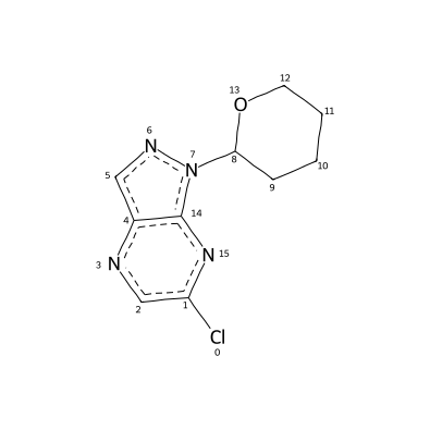 Clc1cnc2cnn(C3CCCCO3)c2n1